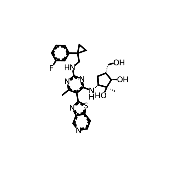 Cc1nc(NCC2(c3cccc(F)c3)CC2)nc(N[C@@H]2C[C@H](CO)[C@@H](O)[C@@]2(C)O)c1-c1nc2cnccc2s1